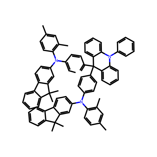 C=C(/C=C\C(=C/C)N(c1ccc2c(c1)C(C)(C)c1ccccc1-2)c1ccc(C)cc1C)C1(c2ccc(N(c3ccc4c(c3)C(C)(C)c3ccccc3-4)c3ccc(C)cc3C)cc2)c2ccccc2N(c2ccccc2)c2ccccc21